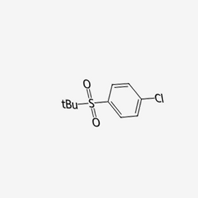 CC(C)(C)S(=O)(=O)c1ccc(Cl)cc1